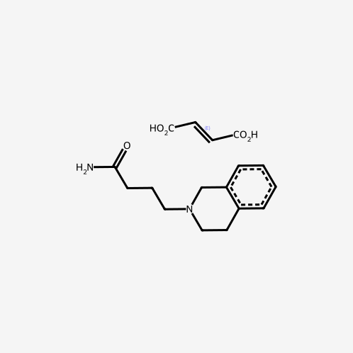 NC(=O)CCCN1CCc2ccccc2C1.O=C(O)/C=C/C(=O)O